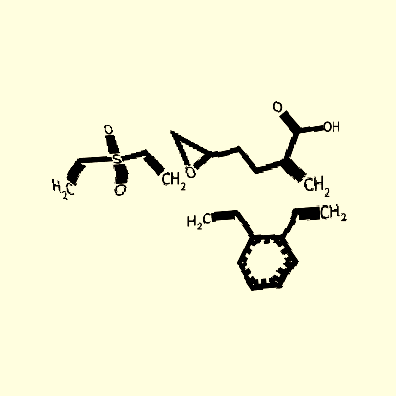 C=C(CCC1CO1)C(=O)O.C=CS(=O)(=O)C=C.C=Cc1ccccc1C=C